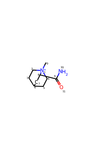 C[N+]12CCC(CC1)CC2C(N)=O